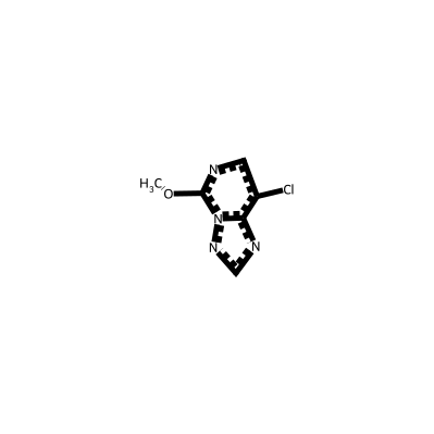 COc1ncc(Cl)c2ncnn12